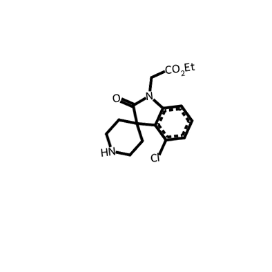 CCOC(=O)CN1C(=O)C2(CCNCC2)c2c(Cl)cccc21